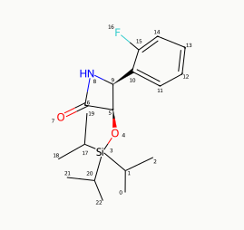 CC(C)[Si](O[C@H]1C(=O)N[C@H]1c1ccccc1F)(C(C)C)C(C)C